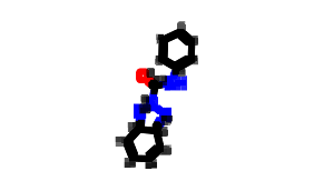 O=C(Nc1ccccc1)n1nc2ccccc2n1